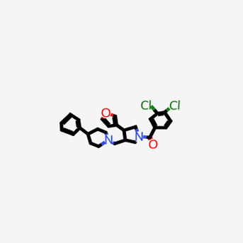 O=C(c1ccc(Cl)c(Cl)c1)N1CC(CN2CCC(c3ccccc3)CC2)C(c2ccoc2)C1